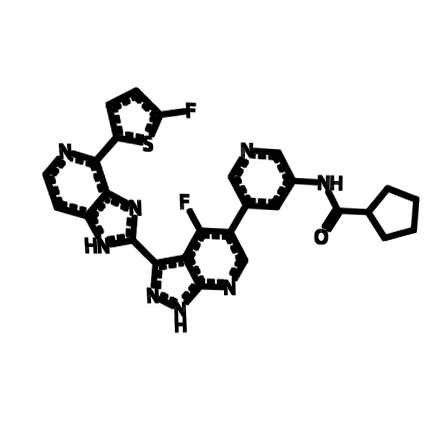 O=C(Nc1cncc(-c2cnc3[nH]nc(-c4nc5c(-c6ccc(F)s6)nccc5[nH]4)c3c2F)c1)C1CCCC1